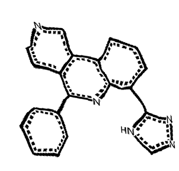 c1ccc(-c2nc3c(-c4nnc[nH]4)cccc3c3cnccc23)cc1